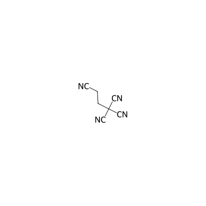 N#CCCC(C#N)(C#N)C#N